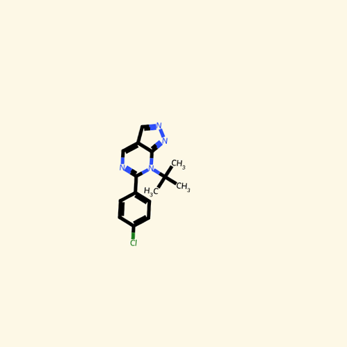 CC(C)(C)n1c(-c2ccc(Cl)cc2)ncc2cnnc1-2